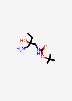 CCC(O)(CN)CNC(=O)OC(C)(C)C